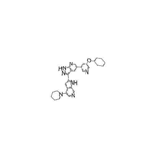 c1ncc(-c2cnc3[nH]nc(-c4cc5c(N6CCCCC6)cncc5[nH]4)c3c2)cc1OC1CCCCC1